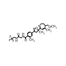 COCC1CCN=C(C2(C)CC(c3ccc(C(=O)NCC(=O)NCC(F)(F)F)c(C)c3)=NO2)C=C1C